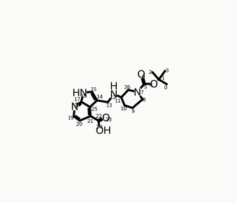 CC(C)(C)OC(=O)N1CCCC(NCc2c[nH]c3nccc(C(=O)O)c23)C1